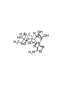 CCC(C)(OP(=O)(O)C(O)(CC)CC)C1c2nc3c(N)ncnc3n2C2O[C@H]1[C@@H](O)[C@H]2O